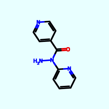 NN(C(=O)c1ccncc1)c1ccccn1